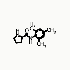 Cc1cc(C)c(NC(=O)C2CCCN2)c(C)c1